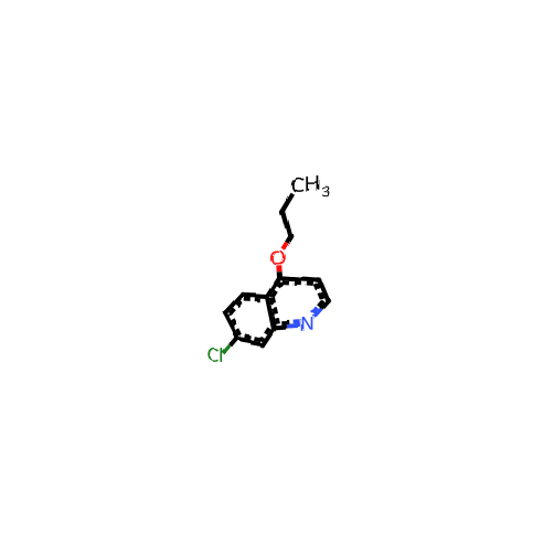 CCCOc1ccnc2cc(Cl)ccc12